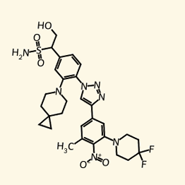 Cc1cc(-c2cn(-c3ccc(C(CO)S(N)(=O)=O)cc3N3CCC4(CC3)CC4)nn2)cc(N2CCC(F)(F)CC2)c1[N+](=O)[O-]